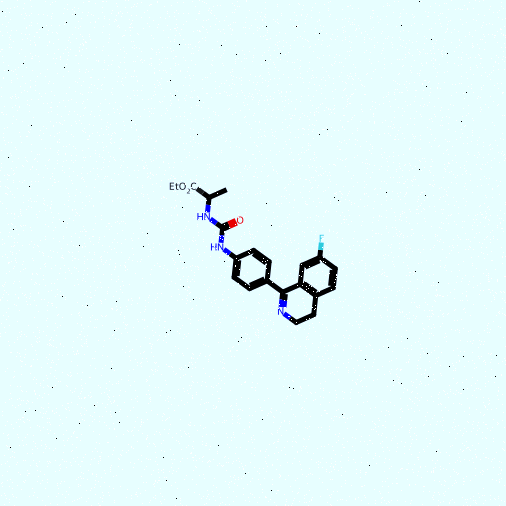 CCOC(=O)C(C)NC(=O)Nc1ccc(C2=NCCc3ccc(F)cc32)cc1